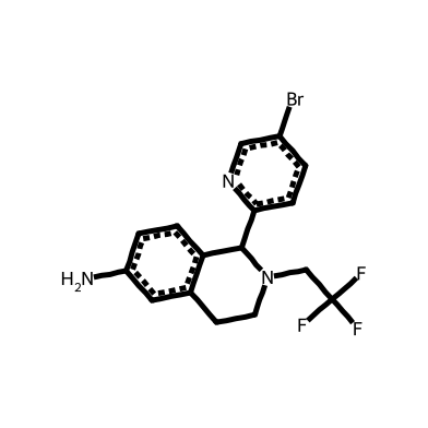 Nc1ccc2c(c1)CCN(CC(F)(F)F)C2c1ccc(Br)cn1